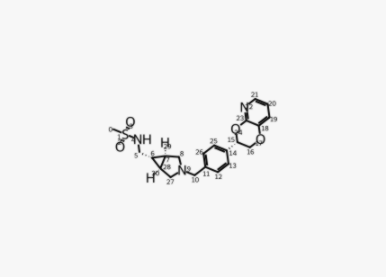 CS(=O)(=O)NC[C@@H]1[C@H]2CN(Cc3ccc([C@H]4COc5cccnc5O4)cc3)C[C@@H]12